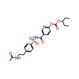 CCC(CC)OC(=O)Oc1ccc(C(=O)NS(=O)(=O)c2ccc(CCNC(C)=O)cc2)cn1